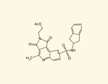 CC(=O)OCCN1C(=O)c2c(C)nc3ccc(S(=O)(=O)NC4Cc5ccccc5C4)cc3c2C1=O